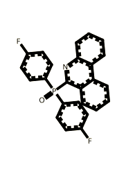 O=P(c1ccc(F)cc1)(c1ccc(F)cc1)c1nc2ccccc2c2ccccc12